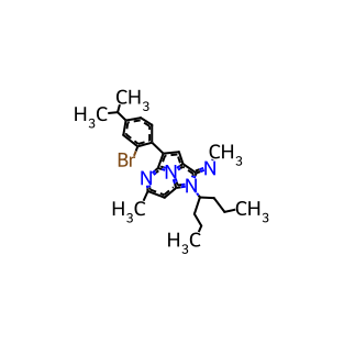 CCCC(CCC)n1/c(=N/C)c2cc(-c3ccc(C(C)C)cc3Br)c3nc(C)cc1n32